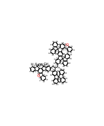 CC1(C)c2ccccc2-c2c1c1c(c3c2oc2ccccc23)-c2ccc(CC(Cc3ccc4c(c3)C(c3ccccc3)(c3ccccc3)c3cc5c(cc3-4)C(c3ccccc3)(c3ccccc3)c3ccc4oc6ccccc6c4c3-5)c3ccc4c(c3)C3(c5ccccc5-c5ccccc53)c3ccccc3-4)cc2C1(C)C